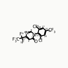 O=c1cc(C(F)(F)C(F)(F)F)ncn1-c1c(Cl)cc(C(F)(F)F)cc1Cl